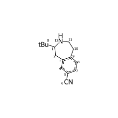 CC(C)(C)C1Cc2cc(C#N)ccc2CCN1